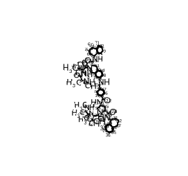 CN[C@@H](C)C(=O)NC(C(=O)N1Cc2cc(NCc3ccc(C(=O)N[C@H]4C[C@@H](C(=O)N[C@@H]5CCCc6ccccc65)N(C(=O)C(NC(=O)[C@H](C)NC)C(C)(C)C)C4)cc3)ccc2C[C@H]1C(=O)N[C@@H]1CCCc2ccccc21)C(C)(C)C